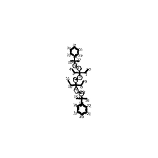 CCC(CC)(OOC(CC)(CC)OOC(C)(C)c1ccccc1)OOC(C)(C)c1ccccc1